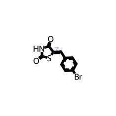 O=C1NC(=O)/C(=C/c2ccc(Br)cc2)S1